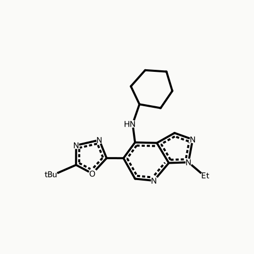 CCn1ncc2c(NC3CCCCC3)c(-c3nnc(C(C)(C)C)o3)cnc21